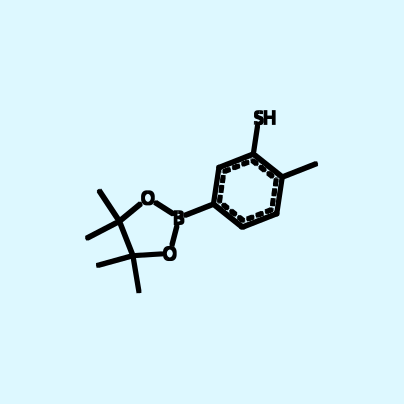 Cc1ccc(B2OC(C)(C)C(C)(C)O2)cc1S